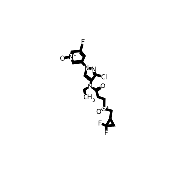 CCN(C(=O)CC[S+]([O-])CC1CC1(F)F)c1cn(-c2cc(F)c[n+]([O-])c2)nc1Cl